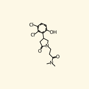 CN(C)C(=O)CCN1CC(c2c(O)ccc(Cl)c2Cl)CC1=O